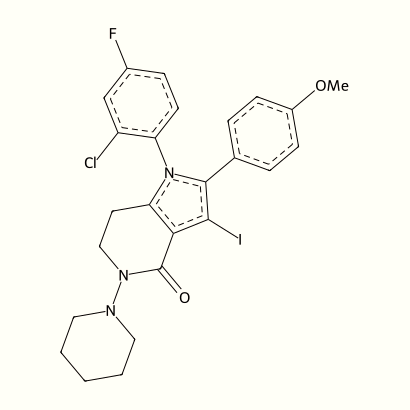 COc1ccc(-c2c(I)c3c(n2-c2ccc(F)cc2Cl)CCN(N2CCCCC2)C3=O)cc1